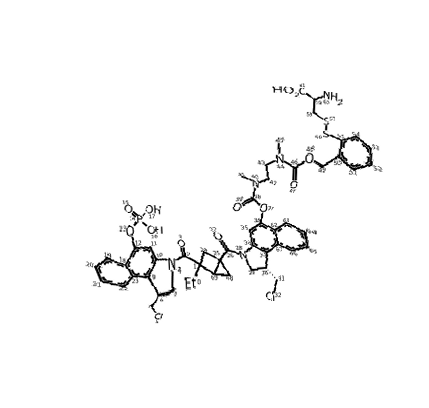 CCC1(C(=O)N2C[C@@H](CCl)c3c2cc(OP(=O)(O)O)c2ccccc32)CC2(C(=O)N3C[C@@H](CCl)c4c3cc(OC(=O)N(C)CCN(C)C(=O)OCc3ccccc3SSC[C@H](N)C(=O)O)c3ccccc43)CC21